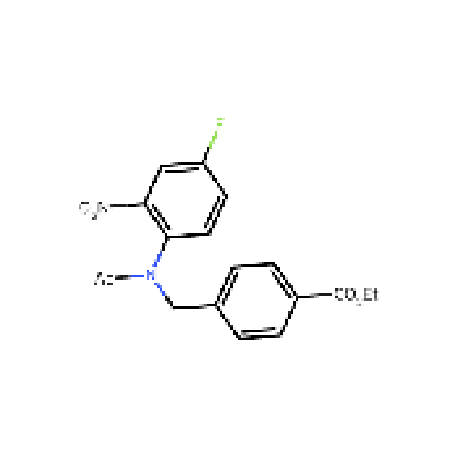 CCOC(=O)c1ccc(CN(C(C)=O)c2ccc(F)cc2[N+](=O)[O-])cc1